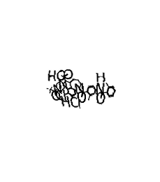 Cc1ccccc1C(=O)Nc1ccc(C(=O)N2CCCC(C(C(=O)O)N3CCN(C(=O)C(C)(C)C)CC3)c3cc(Cl)ccc32)c(C)c1.Cl